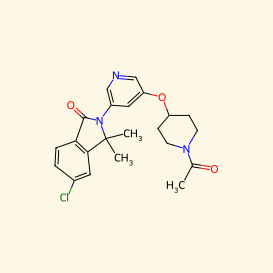 CC(=O)N1CCC(Oc2cncc(N3C(=O)c4ccc(Cl)cc4C3(C)C)c2)CC1